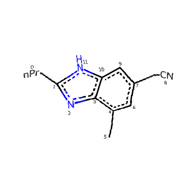 CCCc1nc2c(C)cc(C#N)cc2[nH]1